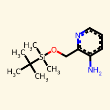 CC(C)(C)[Si](C)(C)OCc1ncccc1N